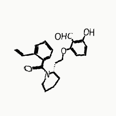 C=Cc1ccccc1C(=O)N1CCCC[C@H]1CCOc1cccc(O)c1C=O